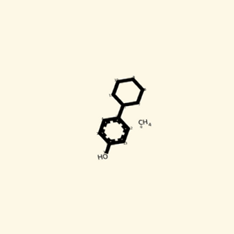 C.Oc1ccc(C2CCCCC2)cc1